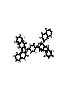 c1ccc2cc(-c3nc(-c4ccc(-n5c6cc7ccccc7cc6c6c7ccccc7ccc65)cc4)nc4c3oc3ccccc34)ccc2c1